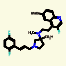 COc1ccc2ncc(F)c(CCN(C)C3(C(=O)O)CCN(CC=Cc4cc(F)ccc4F)C3)c2c1